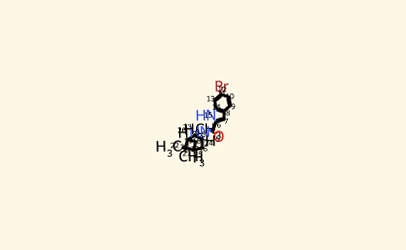 C[C@@H]1[C@@H](NC(=O)c2cc3ccc(Br)cc3[nH]2)C[C@H]2C[C@@H]1C2(C)C